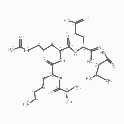 CC(C)[C@H](NC(=O)[C@H](CCC(N)=O)NC(=O)[C@H](CCCNC(=N)N)NC(=O)[C@H](CCCCN)NC(=O)[C@H](C)N)C(=O)O